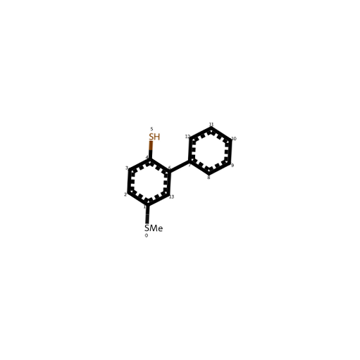 CSc1ccc(S)c(-c2ccccc2)c1